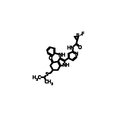 CC(C)SCC1CC(=O)c2c([nH]c(-c3ccnc(NC(=O)C4C[C@@H]4F)c3)c2Nc2ccccc2)C1